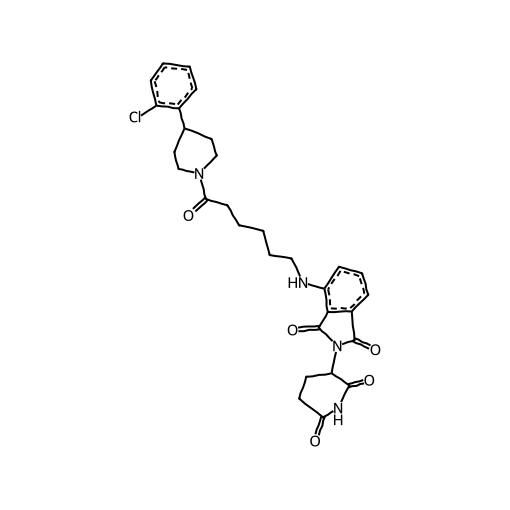 O=C1CCC(N2C(=O)c3cccc(NCCCCCC(=O)N4CCC(c5ccccc5Cl)CC4)c3C2=O)C(=O)N1